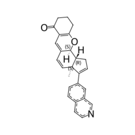 C[C@]12C=CC3=CC4=C(CCCC4=O)O[C@H]3[C@@H]1CC=C2c1ccc2ccncc2c1